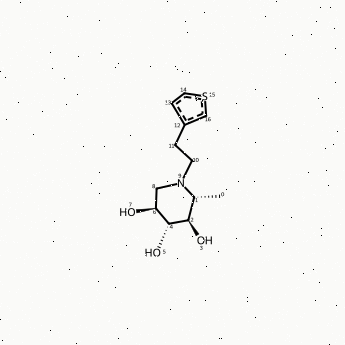 C[C@@H]1[C@@H](O)[C@H](O)[C@@H](O)CN1CCc1ccsc1